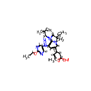 CCOc1ncc(Nc2cc(C(CC)CC(=O)O)cnc2N(CC(C)C)CC(C)C)cn1